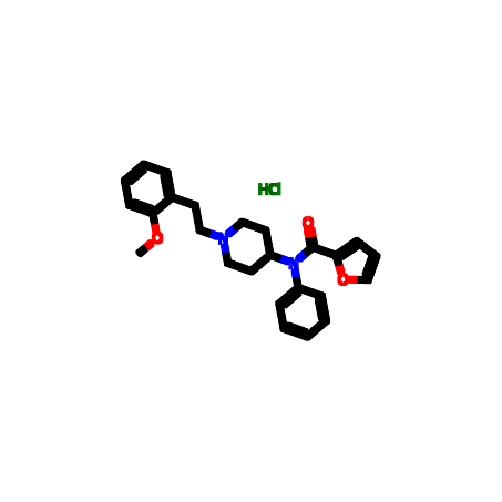 COc1ccccc1CCN1CCC(N(C(=O)c2ccco2)c2ccccc2)CC1.Cl